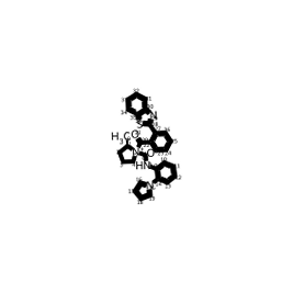 C[C@@H]1CCC[N+]1(C(=O)Nc1ccccc1-n1cccc1)C(=O)c1ccccc1-c1nc2ccccc2s1